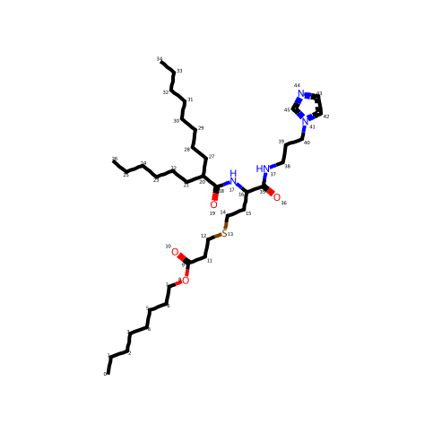 CCCCCCCCOC(=O)CCSCCC(NC(=O)C(CCCCCC)CCCCCCCC)C(=O)NCCCn1ccnc1